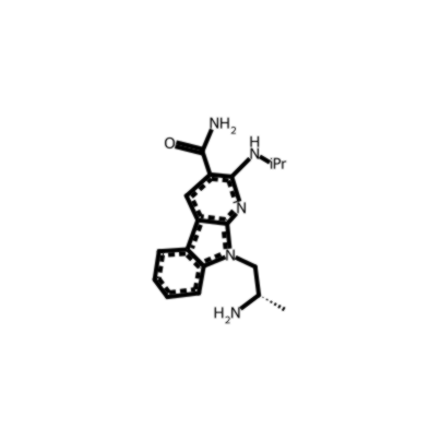 CC(C)Nc1nc2c(cc1C(N)=O)c1ccccc1n2C[C@H](C)N